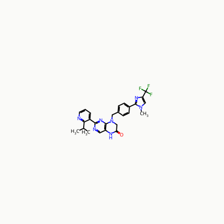 CC(C)c1ncccc1-c1ncc2c(n1)N(Cc1ccc(-c3nc(C(F)(F)F)cn3C)cc1)CC(=O)N2